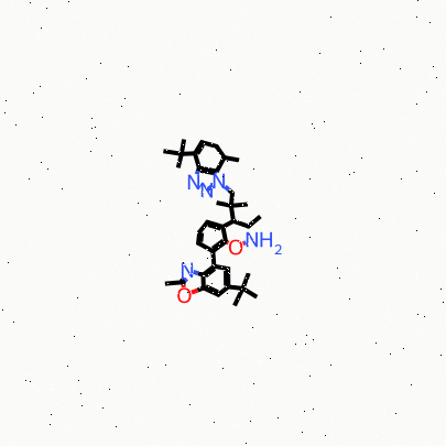 CCC(c1cccc(-c2cc(C(C)(C)C)cc3oc(C)nc23)c1ON)C(C)(C)Cn1nnc2c1C(C)CC=C2C(C)(C)C